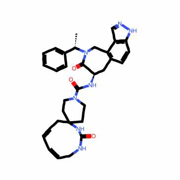 C[C@@H](c1ccccc1)N1Cc2c(ccc3[nH]ncc23)C[C@@H](NC(=O)N2CCC3(C/C=C\C=C/CNC(=O)N3)CC2)C1=O